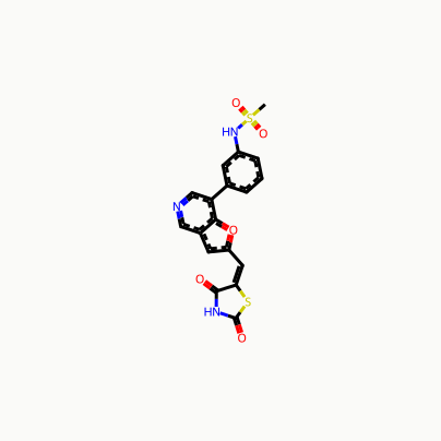 CS(=O)(=O)Nc1cccc(-c2cncc3cc(C=C4SC(=O)NC4=O)oc23)c1